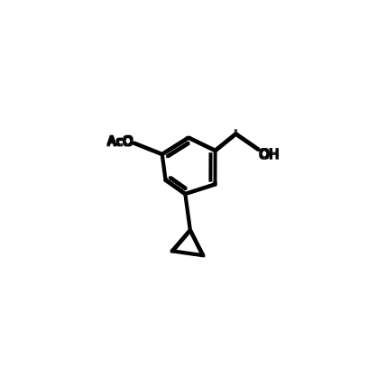 CC(=O)Oc1cc([CH]O)cc(C2CC2)c1